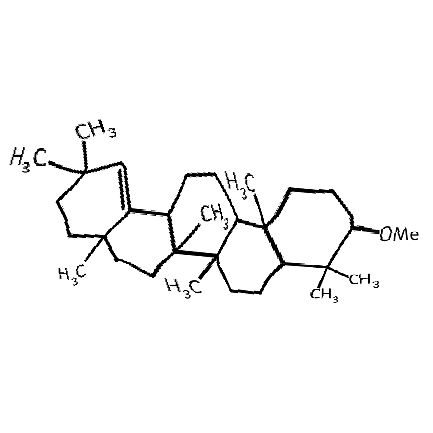 COC1CCC2(C)C(CCC3(C)C2CCC2C4=CC(C)(C)CCC4(C)CCC23C)C1(C)C